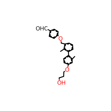 Cc1cc(OCCCO)ccc1-c1cccc(COc2ccc(C=O)cc2)c1C